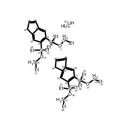 CC[SiH2]O[Si](CC)(CC)c1cc2c(cc1[Si](CC)(CC)O[SiH2]CC)CC=C2.CC[SiH2]O[Si](CC)(CC)c1cc2c(cc1[Si](CC)(CC)O[SiH2]CC)CC=C2.[LiH].[LiH]